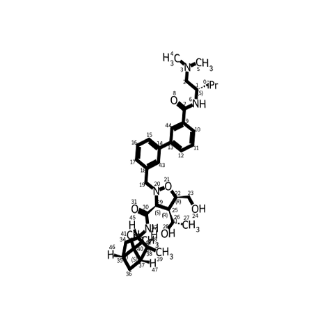 CC(C)[C@@H](CN(C)C)NC(=O)c1cccc(-c2cccc(CN3O[C@@H](CO)[C@@H]([C@H](C)O)[C@H]3C(=O)N[C@H]3C[C@H]4C[C@@H]([C@@H]3C)C4(C)C)c2)c1